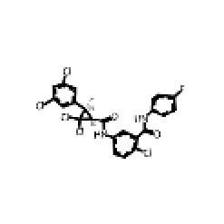 C[C@]1(c2cc(Cl)cc(Cl)c2)[C@@H](C(=O)Nc2ccc(Cl)c(C(=O)Nc3ccc(F)cc3)c2)C1(Cl)Cl